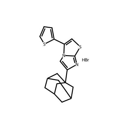 Br.c1csc(-c2csc3nc(C45CC6CC(CC(C6)C4)C5)cn23)c1